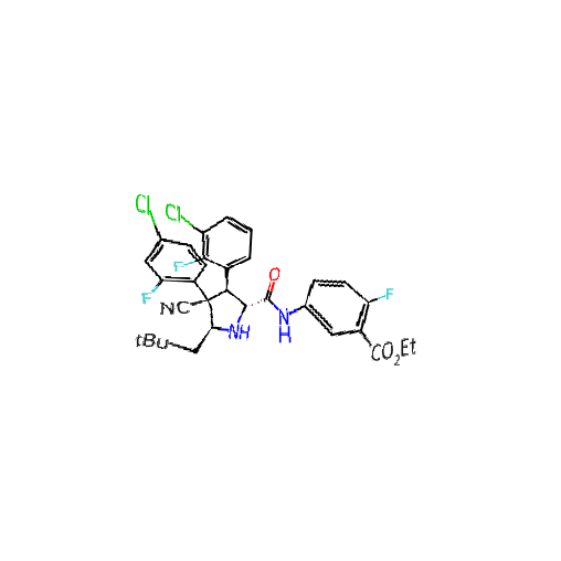 CCOC(=O)c1cc(NC(=O)[C@@H]2N[C@@H](CC(C)(C)C)[C@](C#N)(c3ccc(Cl)cc3F)[C@H]2c2cccc(Cl)c2F)ccc1F